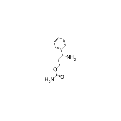 NC(=O)OCC[C@@H](N)c1ccccc1